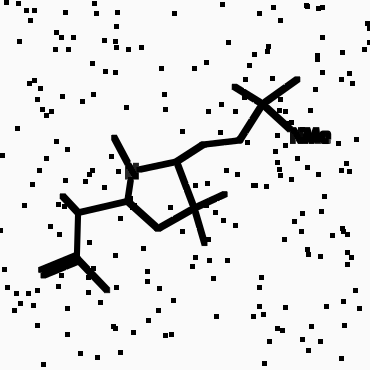 C=C(C)C(C)C1CC(C)(C)C(CCC(C)(C)NC)N1C